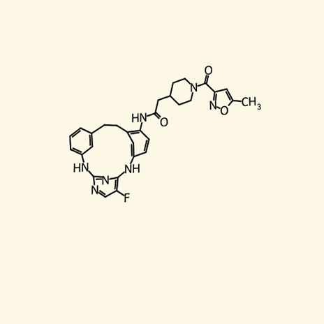 Cc1cc(C(=O)N2CCC(CC(=O)Nc3ccc4cc3CCc3cccc(c3)Nc3ncc(F)c(n3)N4)CC2)no1